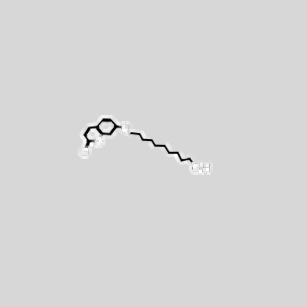 O=c1ccc2ccc(OCCCCCCCCCCO)cc2o1